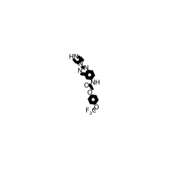 O=C(COc1ccc(OC(F)(F)F)cc1)Nc1ccc2nc(N3CC4CC3CN4)ncc2c1